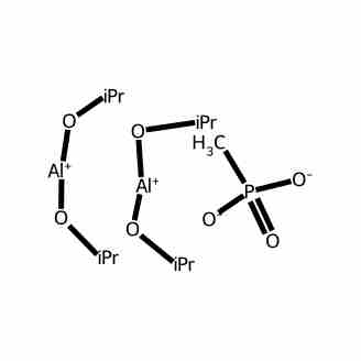 CC(C)[O][Al+][O]C(C)C.CC(C)[O][Al+][O]C(C)C.CP(=O)([O-])[O-]